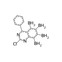 Bc1c(B)c(B)c2c(-c3ccccc3)nc(Cl)nc2c1B